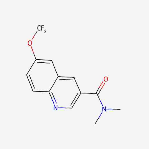 CN(C)C(=O)c1cnc2ccc(OC(F)(F)F)cc2c1